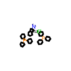 CN(C)C1=Cc2ccccc2[CH]1[Ru][Cl].c1ccc(P(c2ccccc2)c2ccccc2)cc1.c1ccc(P(c2ccccc2)c2ccccc2)cc1